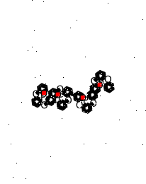 O=P12c3ccccc3Oc3cccc(c31)Oc1cc3cc4c(cc3cc12)Oc1cccc2c1P4(=O)c1ccc(-c3ccc4c5c3Oc3ccccc3P5(=O)c3c(ccc5c6c(ccc35)Oc3cccc5c3P6(=O)c3ccccc3O5)O4)cc1O2